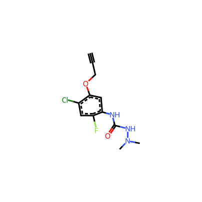 C#CCOc1cc(NC(=O)NN(C)C)c(F)cc1Cl